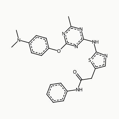 Cc1nc(Nc2ncc(CC(=O)Nc3ccccc3)s2)nc(Oc2ccc(N(C)C)cc2)n1